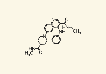 CCNC(=O)c1cnc2ccc(N3CCC(C(=O)NC)CC3)cc2c1Nc1ccccc1